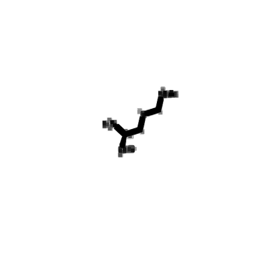 CC(=O)NCSC[C@H](N)[C]=O